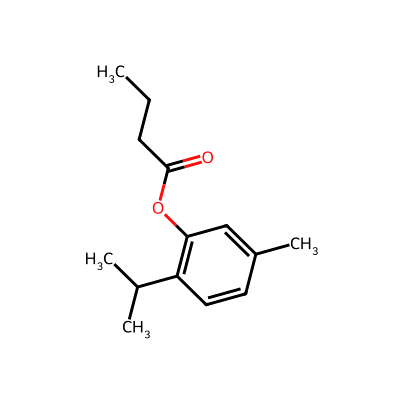 CCCC(=O)Oc1cc(C)ccc1C(C)C